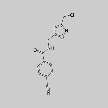 N#Cc1ccc(C(=O)NCc2cc(CCl)no2)cc1